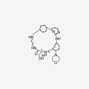 O=C1NCCNCc2ccc(cc2)-c2ccnc(n2)Nc2ccc(N3CCOCC3)c(c2)CN[C@H]1CO